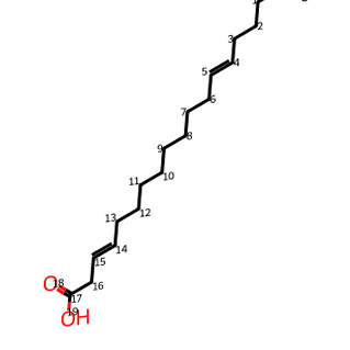 CCCC/C=C/CCCCCCCC/C=C/CC(=O)O